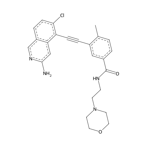 Cc1ccc(C(=O)NCCN2CCOCC2)cc1C#Cc1c(Cl)ccc2cnc(N)cc12